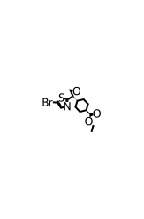 CCOC(=O)[C@H]1CC[C@H](C2(c3ncc(Br)s3)CO2)CC1